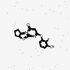 N#Cc1cccc(Oc2cc(=O)n3c4c(sc3n2)CCC4)c1F